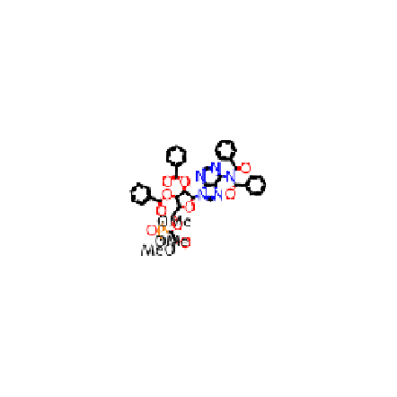 COC(=O)C(OCC1OC(n2cnc3c(N(C(=O)c4ccccc4)C(=O)c4ccccc4)ncnc32)C(OC(=O)c2ccccc2)C1OC(=O)c1ccccc1)P(=O)(OC)OC